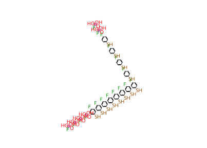 Fc1ccc(S)cc1.Fc1ccc(S)cc1.Fc1ccc(S)cc1.Fc1ccc(S)cc1.Fc1ccc(S)cc1.Fc1ccc(S)cc1.Fc1ccc(S)cc1.Fc1ccc(S)cc1.Fc1ccc(S)cc1.Fc1ccc(S)cc1.Fc1ccc(S)cc1.Fc1ccc(S)cc1.O=P(O)(O)F.O=P(O)(O)F.O=P(O)(O)F.O=P(O)(O)F.O=P(O)(O)F.O=P(O)(O)F